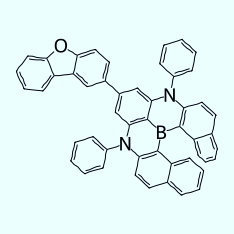 c1ccc(N2c3cc(-c4ccc5oc6ccccc6c5c4)cc4c3B(c3c2ccc2ccccc32)c2c(ccc3ccccc23)N4c2ccccc2)cc1